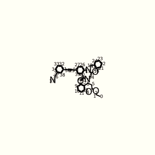 CCOC(=O)CC(c1ccccc1)N1CC(=O)N(Cc2ccccc2)c2ccc(C#Cc3cccc(C#N)c3)cc2C1=O